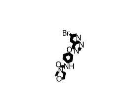 O=C(Nc1ccc(Oc2ncnc3ncc(Br)cc23)cc1)N1CCOCC1